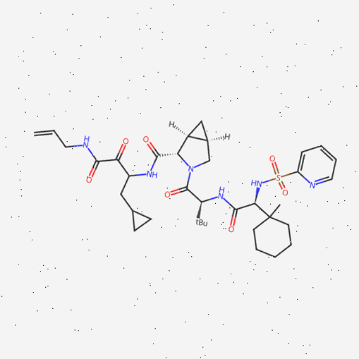 C=CCNC(=O)C(=O)C(CC1CC1)NC(=O)[C@@H]1[C@H]2C[C@H]2CN1C(=O)[C@@H](NC(=O)[C@@H](NS(=O)(=O)c1ccccn1)C1(C)CCCCC1)C(C)(C)C